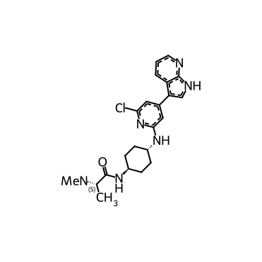 CN[C@@H](C)C(=O)N[C@H]1CC[C@H](Nc2cc(-c3c[nH]c4ncccc34)cc(Cl)n2)CC1